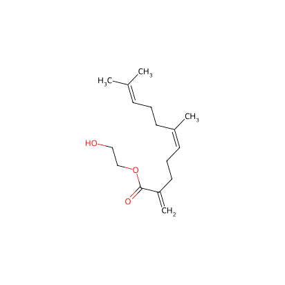 C=C(CCC=C(C)CCC=C(C)C)C(=O)OCCO